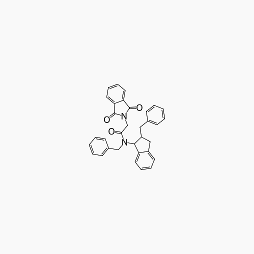 O=C1c2ccccc2C(=O)N1CC(=O)N(Cc1ccccc1)C1c2ccccc2CC1Cc1ccccc1